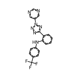 FC(F)(F)c1ccc(Nc2ccccc2-c2nnn(-c3cncnc3)n2)cc1